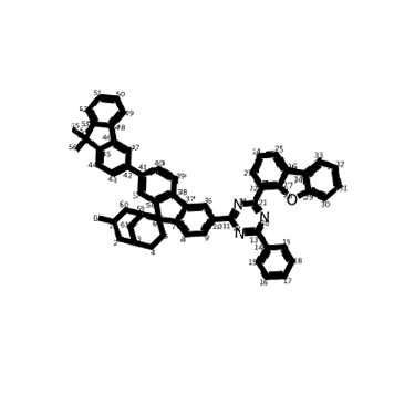 CC1CC2CCC3(c4ccc(-c5nc(-c6ccccc6)nc(-c6cccc7c6oc6ccccc67)n5)cc4-c4ccc(-c5ccc6c(c5)-c5ccccc5C6(C)C)cc43)C(C1)C2